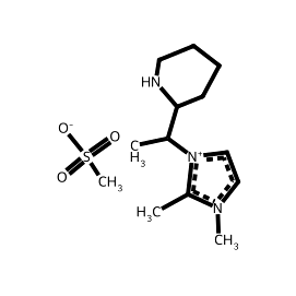 CS(=O)(=O)[O-].Cc1n(C)cc[n+]1C(C)C1CCCCN1